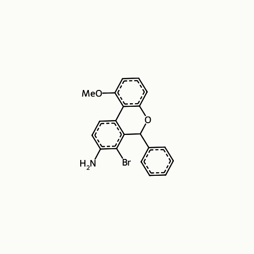 COc1cccc2c1-c1ccc(N)c(Br)c1C(c1ccccc1)O2